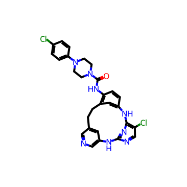 O=C(Nc1ccc2cc1CCc1cncc(c1)Nc1ncc(Cl)c(n1)N2)N1CCN(c2ccc(Cl)cc2)CC1